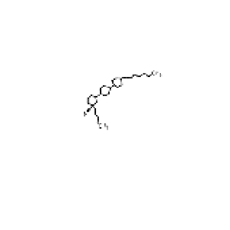 CCCCCCCC1CCC(C2CCC(C3CCCC(C#N)(CCCCC)C3)CC2)CC1